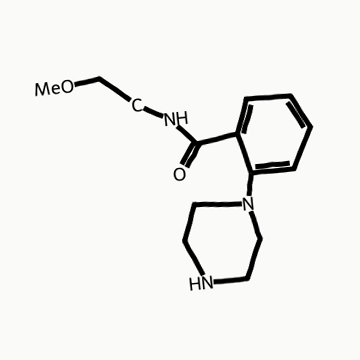 COCCNC(=O)c1ccccc1N1CCNCC1